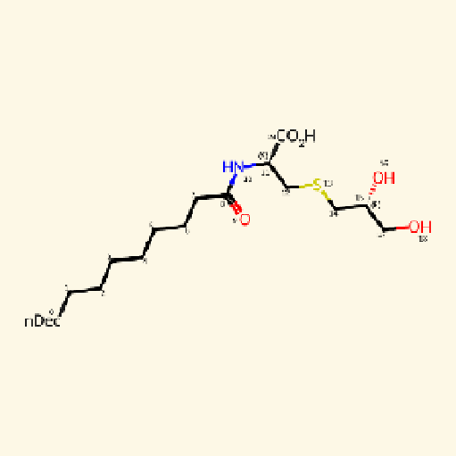 CCCCCCCCCCCCCCCCCC(=O)N[C@H](CSC[C@H](O)CO)C(=O)O